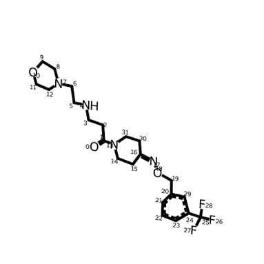 O=C(CCNCCN1CCOCC1)N1CCC(=NOCc2cccc(C(F)(F)F)c2)CC1